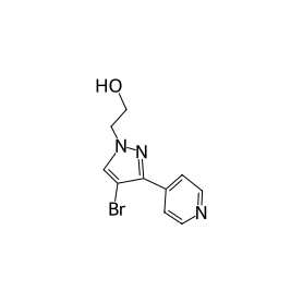 OCCn1cc(Br)c(-c2ccncc2)n1